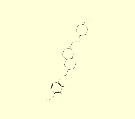 CCCC1CCC(OCC2CCC3CC(COc4ccc(OCC)c(F)c4F)CCC3C2)CC1